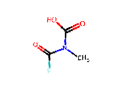 CN(C(=O)O)C(=O)F